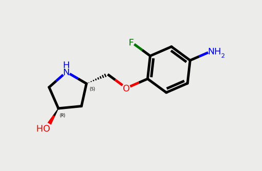 Nc1ccc(OC[C@@H]2C[C@@H](O)CN2)c(F)c1